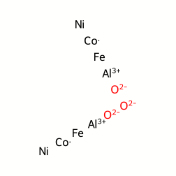 [Al+3].[Al+3].[Co].[Co].[Fe].[Fe].[Ni].[Ni].[O-2].[O-2].[O-2]